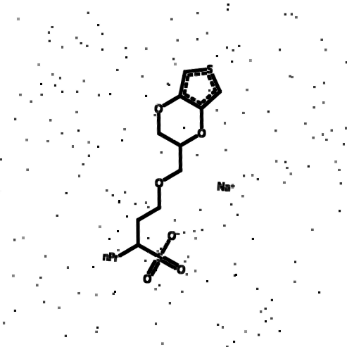 CCCC(CCOCC1COc2cscc2O1)S(=O)(=O)[O-].[Na+]